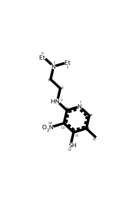 CCN(CC)CCNc1ncc(C)c(S)c1[N+](=O)[O-]